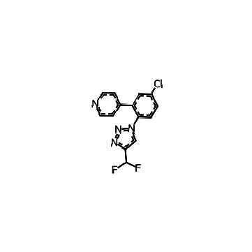 FC(F)c1cn(-c2ccc(Cl)cc2-c2ccncc2)nn1